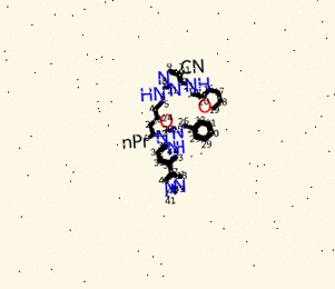 CCCC(CCCCNc1ncc(C#N)c(NCC2CCCCO2)n1)N(C(=O)NCc1ccccc1)c1ccc(-c2cnn(C)c2)cn1